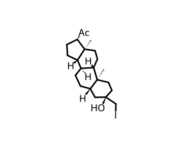 CC(=O)[C@H]1CC[C@H]2[C@@H]3CC[C@H]4C[C@@](O)(CI)CC[C@]4(C)[C@H]3CC[C@]12C